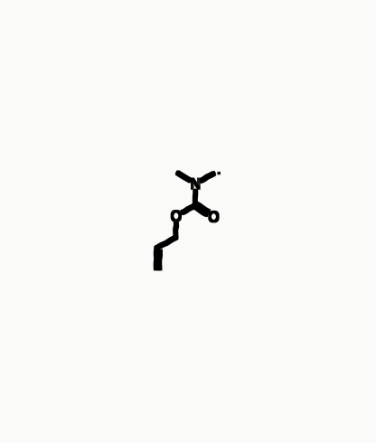 [CH2]N(C)C(=O)OCC=C